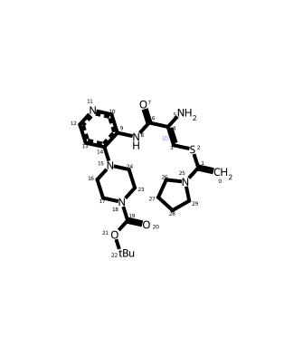 C=C(S/C=C(\N)C(=O)Nc1cnccc1N1CCN(C(=O)OC(C)(C)C)CC1)N1CCCC1